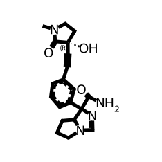 CN1CC[C@@](O)(C#Cc2cccc(C3(C(N)=O)N=CN4CCCC43)c2)C1=O